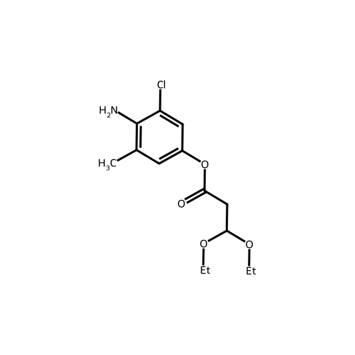 CCOC(CC(=O)Oc1cc(C)c(N)c(Cl)c1)OCC